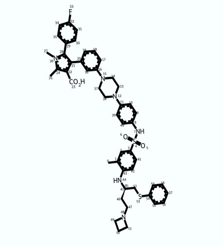 Cc1cc(S(=O)(=O)Nc2ccc(N3CCN(c4cccc(-c5c(C(=O)O)c(C)n(C)c5-c5ccc(F)cc5)c4)CC3)cc2)ccc1N[C@H](CCN1CCC1)CSc1ccccc1